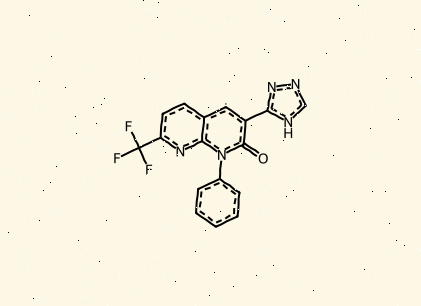 O=c1c(-c2nnc[nH]2)[c]c2ccc(C(F)(F)F)nc2n1-c1ccccc1